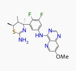 COc1cnc2c(Nc3cc(F)c(F)c([C@@]4(C)N=C(N)S[C@@H](C)C4C)c3)ncnc2c1